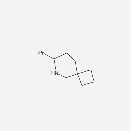 CC(C)C1CCC2(CCC2)CN1